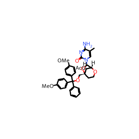 COc1ccc(C(OC[C@@]23CCO[C@@H]([C@H](n4cc(C)c(N)nc4=O)O2)[C@@H]3OC(C)=O)(c2ccccc2)c2ccc(OC)cc2)cc1